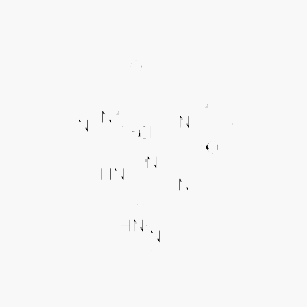 COCCn1ncc(Nc2nc(-c3ncco3)nc3cn[nH]c23)c1Cl